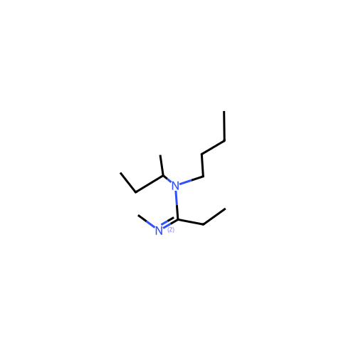 CCCCN(/C(CC)=N\C)C(C)CC